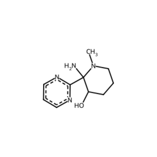 CN1CCCC(O)C1(N)c1ncccn1